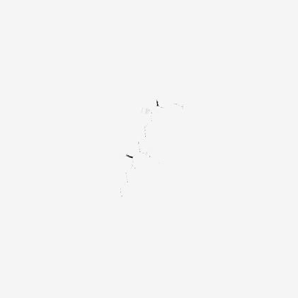 CC(=O)CCCNC(=O)C(N)CCCCNC(=O)OCI